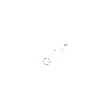 Cc1ccc([N+](=O)[O-])c(C)c1COC(=O)[C@@H]1C(C=C(Cl)Cl)C1(C)C